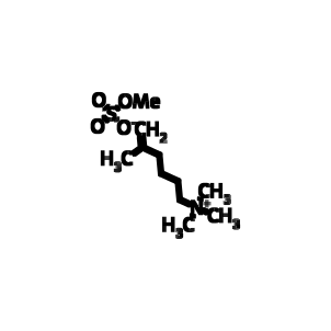 C=C(C)CCCC[N+](C)(C)C.COS(=O)(=O)[O-]